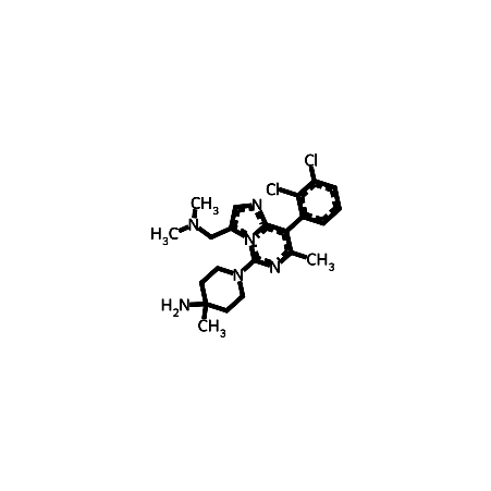 Cc1nc(N2CCC(C)(N)CC2)n2c(CN(C)C)cnc2c1-c1cccc(Cl)c1Cl